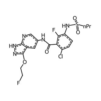 CCCS(=O)(=O)Nc1ccc(Cl)c(C(=O)Nc2cnc3[nH]nc(OCCF)c3c2)c1F